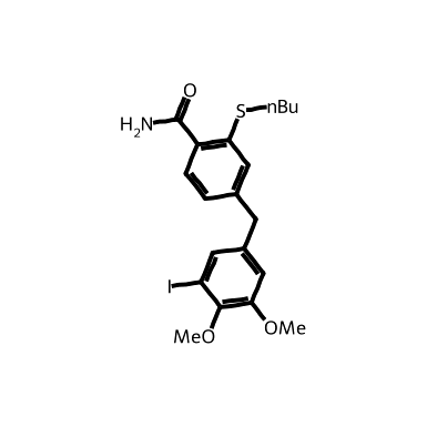 CCCCSc1cc(Cc2cc(I)c(OC)c(OC)c2)ccc1C(N)=O